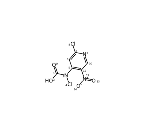 O=C(O)N(Cl)c1cc(Cl)ncc1[N+](=O)[O-]